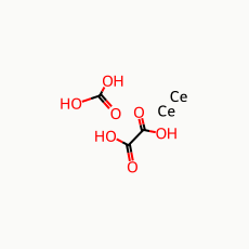 O=C(O)C(=O)O.O=C(O)O.[Ce].[Ce]